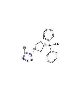 CCc1nccn1[C@@H]1CC[C@H](C(C#N)(c2ccccc2)c2ccccc2)C1